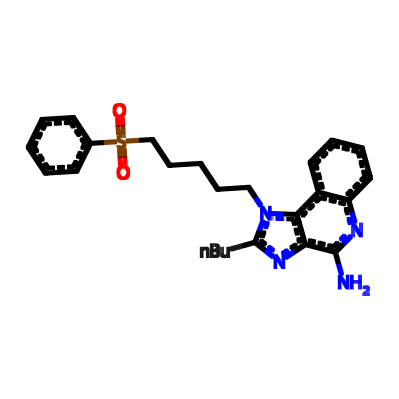 CCCCc1nc2c(N)nc3ccccc3c2n1CCCCCS(=O)(=O)c1ccccc1